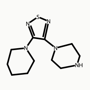 C1CCN(c2nsnc2N2CCNCC2)CC1